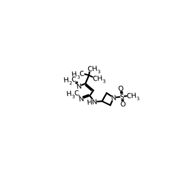 C=N/C(=C\C(=N/C)NC1CN(S(C)(=O)=O)C1)C(C)(C)C